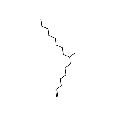 C=CCCCCCC(C)CCCCCCCC